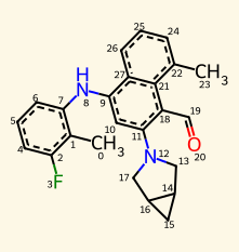 Cc1c(F)cccc1Nc1cc(N2CC3CC3C2)c(C=O)c2c(C)cccc12